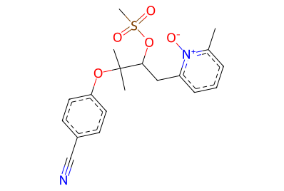 Cc1cccc(CC(OS(C)(=O)=O)C(C)(C)Oc2ccc(C#N)cc2)[n+]1[O-]